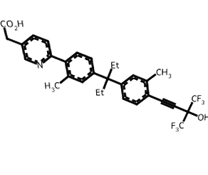 CCC(CC)(c1ccc(C#CC(O)(C(F)(F)F)C(F)(F)F)c(C)c1)c1ccc(-c2ccc(CC(=O)O)cn2)c(C)c1